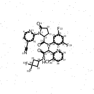 N#Cc1ccnc(N2C(=O)CC[C@H]2C(=O)N(c2cc(F)cc(F)c2)[C@H](C(=O)NC2CC(F)(F)C2)c2ncccc2Cl)c1